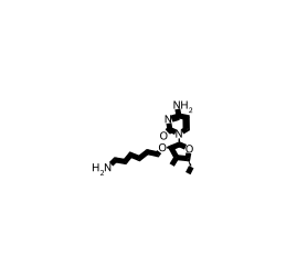 CC[C@H]1O[C@@H](n2ccc(N)nc2=O)[C@@H](OCCCCCCN)C1C